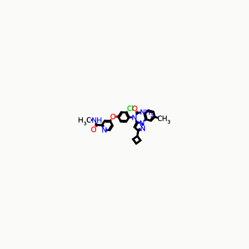 CNC(=O)c1cc(Oc2ccc(N(C(N)=O)c3cc(C4CCC4)nn3-c3cccc(C)c3)c(Cl)c2)ccn1